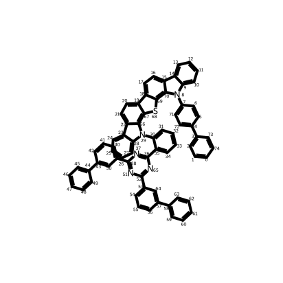 c1ccc(-c2ccc(-n3c4ccccc4c4ccc5c6ccc7c8ccccc8n(-c8ccccc8-c8nc(-c9cccc(-c%10ccccc%10)c9)nc(-c9cccc(-c%10ccccc%10)c9)n8)c7c6sc5c43)cc2)cc1